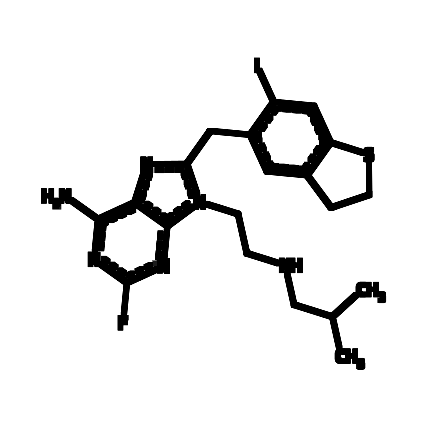 CC(C)CNCCn1c(Cc2cc3c(cc2I)SCC3)nc2c(N)nc(F)nc21